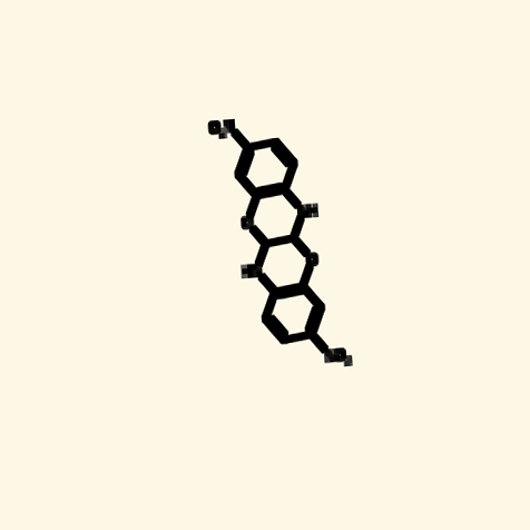 O=[N+]([O-])c1ccc2c(c1)OC1Nc3ccc([N+](=O)[O-])cc3OC1N2